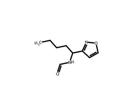 CCCCC(NC=O)c1ccon1